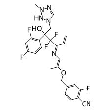 C=C/C(=N\C=C(/C)OCc1ccc(C#N)c(F)c1)C(F)(F)C(O)(CN1C=NN(C)N1)c1ccc(F)cc1F